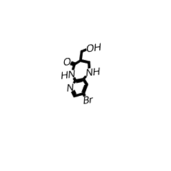 O=C1Nc2ncc(Br)cc2NCC1CO